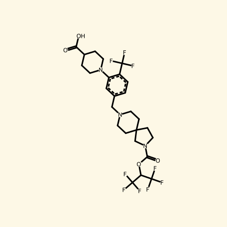 O=C(O)C1CCN(c2cc(CN3CCC4(CC3)CCN(C(=O)OC(C(F)(F)F)C(F)(F)F)C4)ccc2C(F)(F)F)CC1